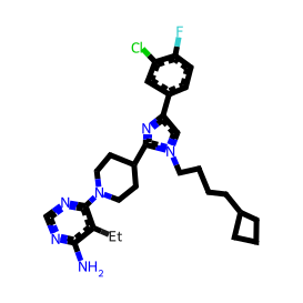 CCc1c(N)ncnc1N1CCC(c2nc(-c3ccc(F)c(Cl)c3)cn2CCCCC2CCC2)CC1